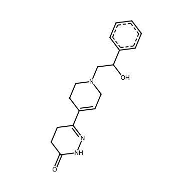 O=C1CCC(C2=CCN(CC(O)c3ccccc3)CC2)=NN1